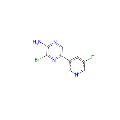 Nc1ncc(-c2cncc(F)c2)nc1Br